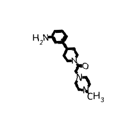 CN1CCN(CC(=O)N2CCC(c3cccc(N)c3)CC2)CC1